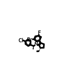 CC[C@H]1CCc2c1n([C@@H](C)c1ccc(Cl)cc1)c1c(Br)cc(F)cc21